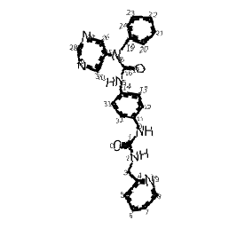 O=C(NCc1ccccn1)Nc1ccc(NC(=O)N(c2ccccc2)c2cncnc2)cc1